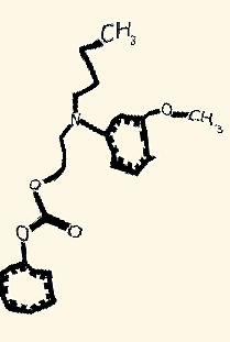 CCCCN(CCOC(=O)Oc1ccccc1)c1cccc(OC)c1